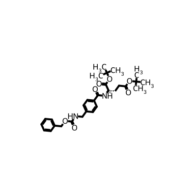 CC(C)(C)OC(=O)CC[C@H](NC(=O)c1ccc(CNC(=O)OCc2ccccc2)cc1)C(=O)OC(C)(C)C